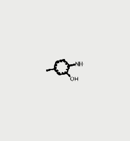 Cc1ccc([NH])c(O)c1